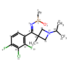 CC(C)[S@@+]([O-])N=C(c1ccc(F)c(Cl)c1F)C1(C)CN(C(C)C(F)(F)F)C1